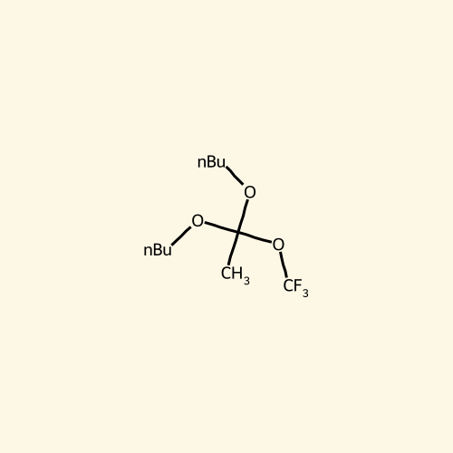 CCCCOC(C)(OCCCC)OC(F)(F)F